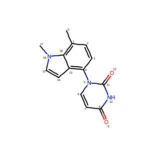 Cc1ccc(-n2ccc(=O)[nH]c2=O)c2ccn(C)c12